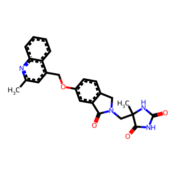 Cc1cc(COc2ccc3c(c2)C(=O)N(CC2(C)NC(=O)NC2=O)C3)c2ccccc2n1